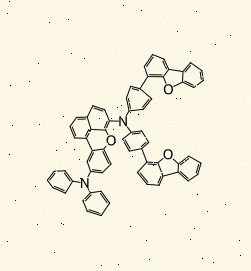 c1ccc(N(c2ccccc2)c2ccc3c(c2)-c2cccc4ccc(N(c5ccc(-c6cccc7c6oc6ccccc67)cc5)c5ccc(-c6cccc7c6oc6ccccc67)cc5)c(c24)O3)cc1